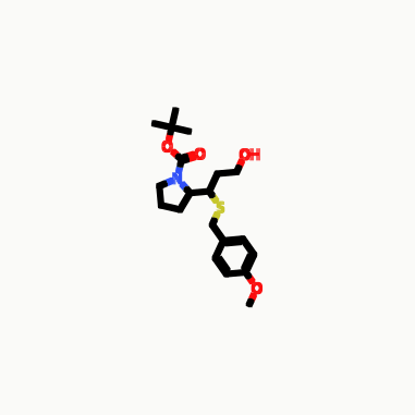 COc1ccc(CSC(CCO)C2CCCN2C(=O)OC(C)(C)C)cc1